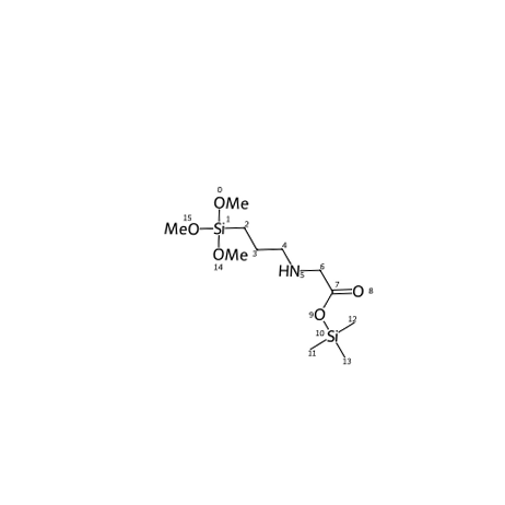 CO[Si](CCCNCC(=O)O[Si](C)(C)C)(OC)OC